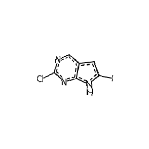 Clc1ncc2cc(I)[nH]c2n1